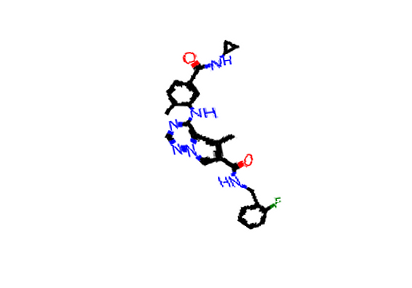 Cc1ccc(C(=O)NC2CC2)cc1Nc1ncnn2cc(C(=O)NCc3ccccc3F)c(C)c12